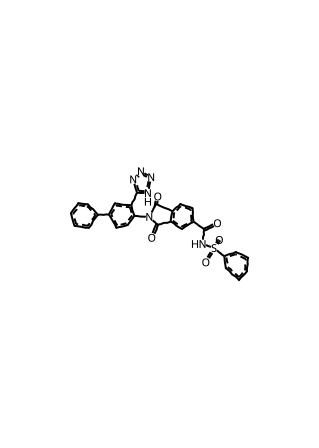 O=C(NS(=O)(=O)c1ccccc1)c1ccc2c(c1)C(=O)N(c1ccc(-c3ccccc3)cc1-c1nnn[nH]1)C2=O